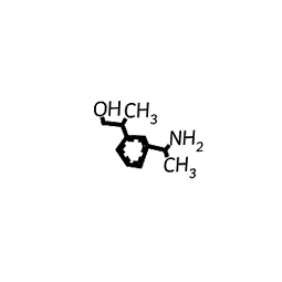 CC(N)c1cccc(C(C)CO)c1